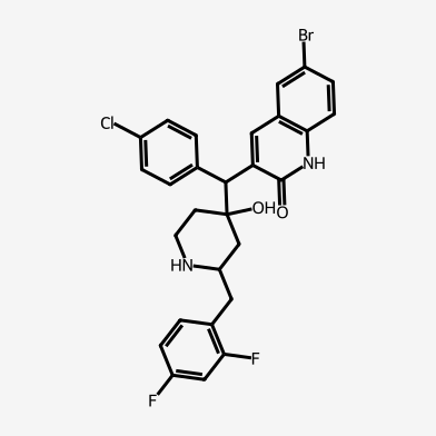 O=c1[nH]c2ccc(Br)cc2cc1C(c1ccc(Cl)cc1)C1(O)CCNC(Cc2ccc(F)cc2F)C1